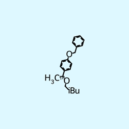 CCC(C)CO[C@@H](C)c1ccc(OCc2ccccc2)cc1